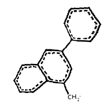 [CH2]c1cc(-c2ccccc2)cc2ccccc12